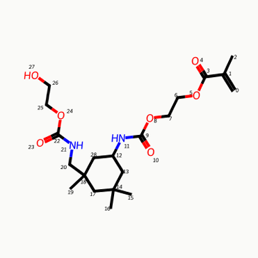 C=C(C)C(=O)OCCOC(=O)NC1CC(C)(C)CC(C)(CNC(=O)OCCO)C1